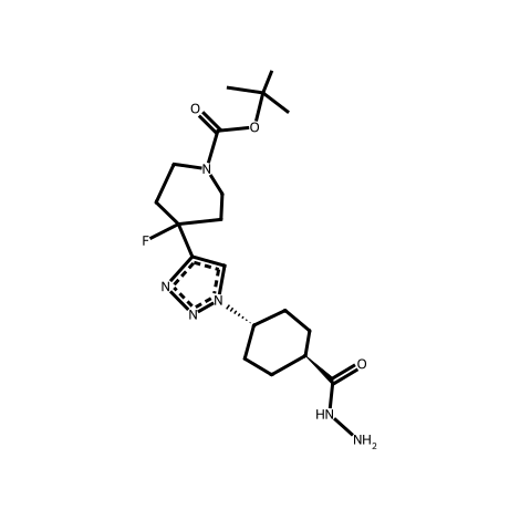 CC(C)(C)OC(=O)N1CCC(F)(c2cn([C@H]3CC[C@H](C(=O)NN)CC3)nn2)CC1